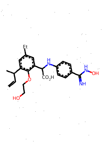 C=CC(C)c1cc(CC)cc(C(Nc2ccc(C(=N)NO)cc2)C(=O)O)c1OCCO